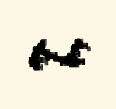 Cc1ncsc1-c1ccc(CNC(=O)[C@@H]2C[C@@H](O)CN2C(=O)C(NC(=O)COCCOCCNC(=O)CCNCC(C(=O)N2CCN(c3ncnc4c3[C@H](C)C[C@H]4O)CC2)c2ccc(Cl)cc2)C(C)(C)C)cc1